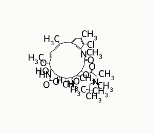 CO[C@@H]1/C=C/C=C(\C)Cc2cc(C)c(Cl)c(c2)N(C)C(=O)C[C@H](OC(=O)[C@H](C)N(C)CC(C)(C)C)[C@]2(C)O[C@H]2[C@H](C)[C@@H]2C[C@@]1(O)NC(=O)O2